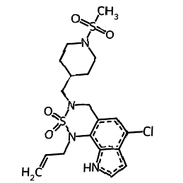 C=CCN1c2c(cc(Cl)c3cc[nH]c23)CN(CC2CCN(S(C)(=O)=O)CC2)S1(=O)=O